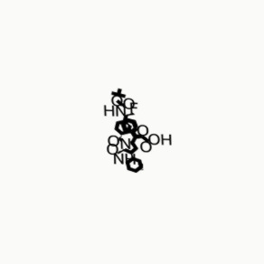 CC(C)(C)OC(=O)N[C@@H](CF)[C@H]1CC[C@H](C(=O)N2C(c3c(C(=O)O)oc4ccccc34)C[C@@H](C3CCCCC3)[C@H]2C(N)=O)CC1